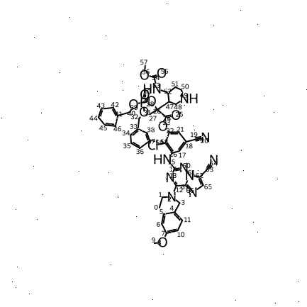 CCN(Cc1ccc(OC)cc1)c1nc(Nc2cc(C#N)cc(OC(=O)C(C)(OP(=O)(OCc3ccccc3)OCc3ccccc3)C3CNCCC3NC(=O)OC)c2Cl)nn2c(C#N)cnc12